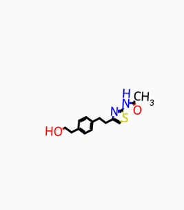 CC(=O)Nc1nc(CCc2ccc(CCO)cc2)cs1